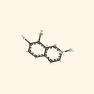 [O-][n+]1ccc2ccc(F)c(Br)c2c1